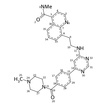 CNC(=O)c1ccnc2c(CCNc3cc(-c4ccc(C(=O)N5CCN(C)CC5)cc4)ncn3)cccc12